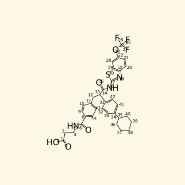 O=C(O)CCNC(=O)c1ccc(CC(C(=O)Nc2nc3ccc(OC(F)(F)F)cc3s2)c2ccc(C3CCCCC3)cc2)cc1